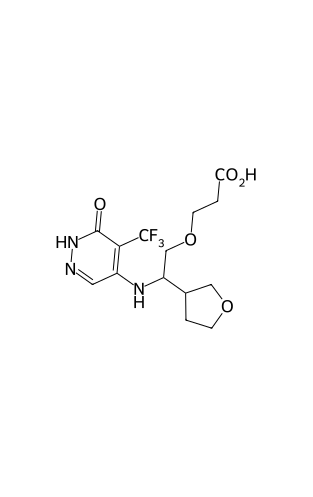 O=C(O)CCOCC(Nc1cn[nH]c(=O)c1C(F)(F)F)C1CCOC1